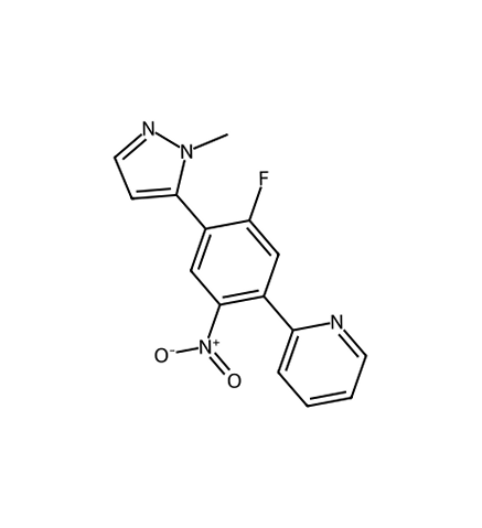 Cn1nccc1-c1cc([N+](=O)[O-])c(-c2ccccn2)cc1F